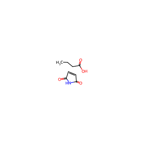 CCCC(=O)O.O=C1C=CC(=O)N1